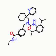 CCNC(=O)c1cccc(CN(CC2(c3ccccn3)CCCCC2)C(=O)Nc2c(C(C)C)cccc2C(C)C)c1